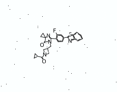 O=C(C1CC1)N1CC(CN2C(=O)C3(CC3)N=C2c2ccc(-c3nc4ccccc4s3)cc2F)C1